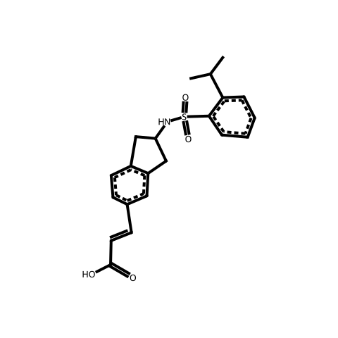 CC(C)c1ccccc1S(=O)(=O)NC1Cc2ccc(C=CC(=O)O)cc2C1